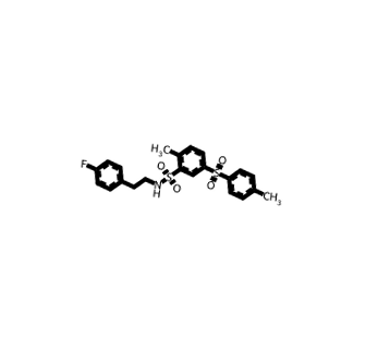 Cc1ccc(S(=O)(=O)c2ccc(C)c(S(=O)(=O)NCCc3ccc(F)cc3)c2)cc1